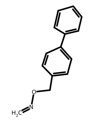 C=NOCc1ccc(-c2ccccc2)cc1